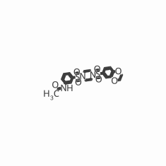 CC(=O)Nc1cccc(S(=O)(=O)N2CCN(S(=O)(=O)c3ccc4c(c3)OCCO4)CC2)c1